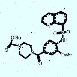 COc1cc(C(=O)N2CCN(C(=O)OCC(C)C)CC2)ccc1NS(=O)(=O)c1cccc2cccnc12